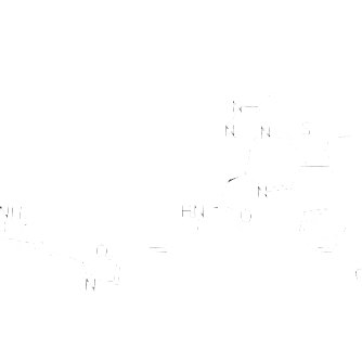 Cc1sc2c(c1C)C(c1ccc(Cl)cc1)=N[C@@H](CC(=O)NCC#Cc1cnc(C#CCN)o1)c1nnc(C)n1-2